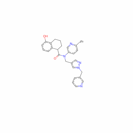 CC(C)c1ccc(N(Cc2cnn(Cc3cccnc3)c2)C(=O)C2CCCc3c(O)cccc32)cn1